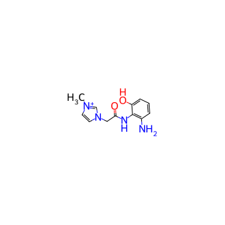 C[n+]1ccn(CC(=O)Nc2c(N)cccc2O)c1